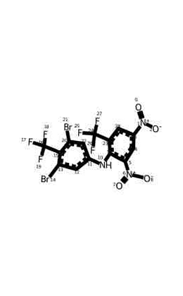 O=[N+]([O-])c1cc([N+](=O)[O-])c(Nc2cc(Br)c(C(F)(F)F)c(Br)c2)c(C(F)(F)F)c1